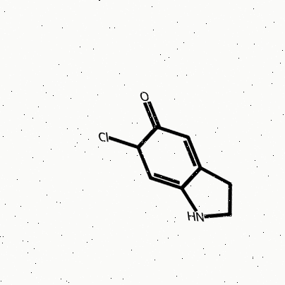 O=C1C=C2CCNC2=CC1Cl